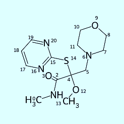 CNC(=O)C(CN1CCOCC1)(OC)Sc1ncccn1